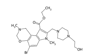 CCOC(=O)c1c(CN2CCN(CCO)CC2)n(C)c2cc(Br)c3c(c12)CN(C)CO3